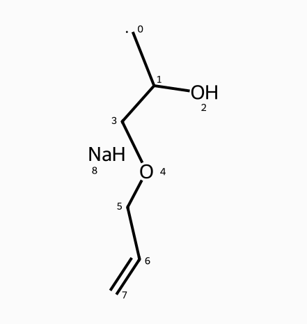 [CH2]C(O)COCC=C.[NaH]